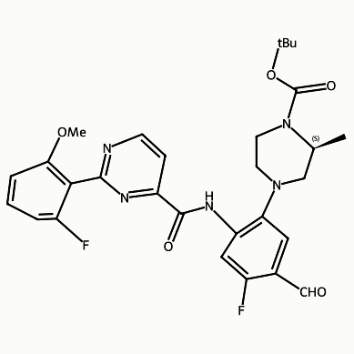 COc1cccc(F)c1-c1nccc(C(=O)Nc2cc(F)c(C=O)cc2N2CCN(C(=O)OC(C)(C)C)[C@@H](C)C2)n1